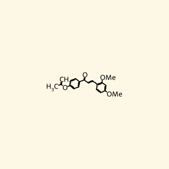 C=C(C)Oc1ccc(C(=O)/C=C/c2ccc(OC)cc2OC)cc1